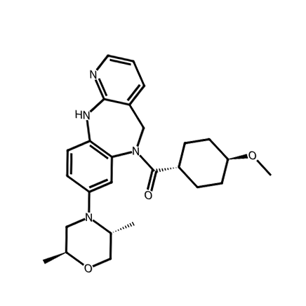 CO[C@H]1CC[C@H](C(=O)N2Cc3cccnc3Nc3ccc(N4C[C@H](C)OC[C@H]4C)cc32)CC1